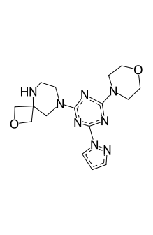 c1cnn(-c2nc(N3CCOCC3)nc(N3CCNC4(COC4)C3)n2)c1